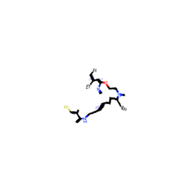 C=N/C(=C\C(=C/CC)CC)OCCN(C)C(CC/C=C/CNC(=C)/C(C)=C/S)CCCC